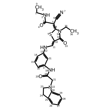 CCNC(=O)C(C#N)=c1sc(=CNc2cccc(NC(=O)CN3CCc4ccccc43)c2)c(=O)n1CC